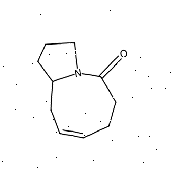 O=C1CCC=CCC2CCCN12